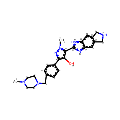 CC(=O)N1CCN(Cc2ccc(-c3nn(C)c(-c4nc5cc6c(cc5[nH]4)CNC6)c3O)cc2)CC1